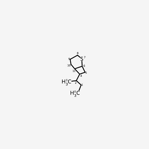 CCC(C)C1CC2SCCCC21